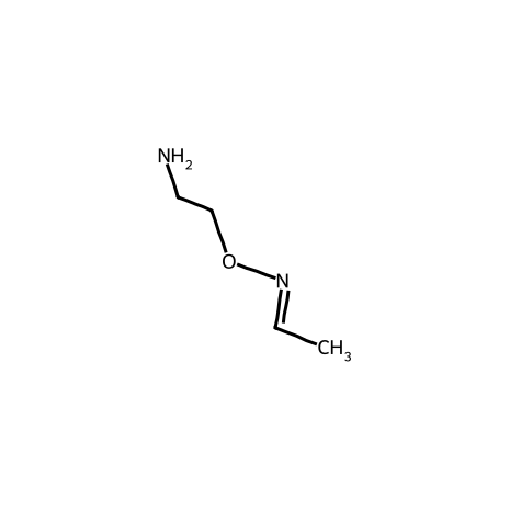 C/C=N/OCCN